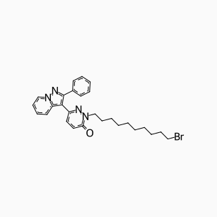 O=c1ccc(-c2c(-c3ccccc3)nn3ccccc23)nn1CCCCCCCCCCBr